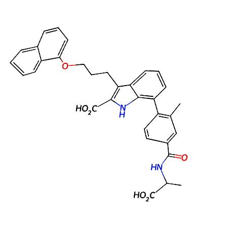 Cc1cc(C(=O)NC(C)C(=O)O)ccc1-c1cccc2c(CCCOc3cccc4ccccc34)c(C(=O)O)[nH]c12